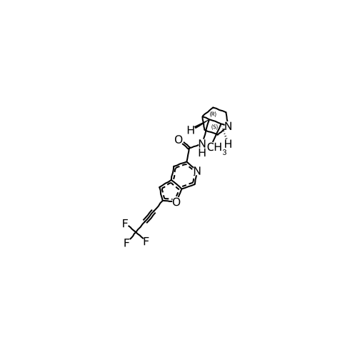 C[C@H]1[C@H](NC(=O)c2cc3cc(C#CC(F)(F)F)oc3cn2)C2CCN1CC2